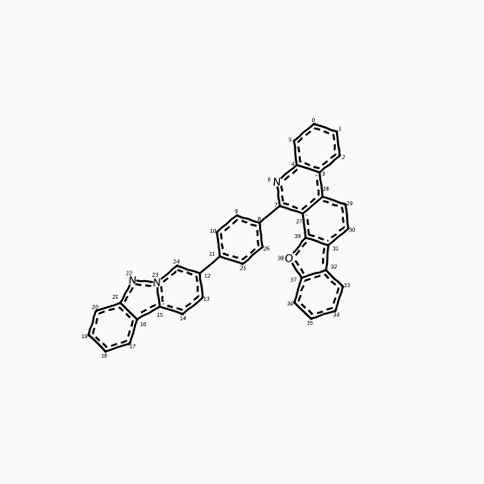 c1ccc2c(c1)nc(-c1ccc(-c3ccc4c5ccccc5nn4c3)cc1)c1c2ccc2c3ccccc3oc21